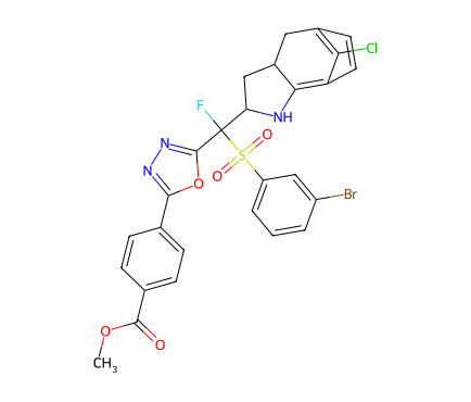 COC(=O)c1ccc(-c2nnc(C(F)(C3CC4CC5=C(Cl)C(=C4N3)C=C5)S(=O)(=O)c3cccc(Br)c3)o2)cc1